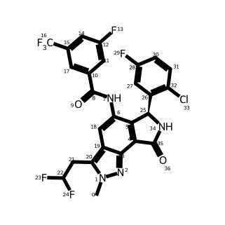 Cn1nc2c3c(c(NC(=O)c4cc(F)cc(C(F)(F)F)c4)cc2c1CC(F)F)[C@@H](c1cc(F)ccc1Cl)NC3=O